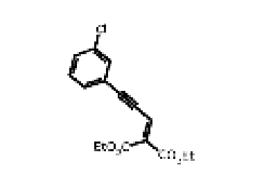 CCOC(=O)C(=CC#Cc1cccc(Cl)c1)C(=O)OCC